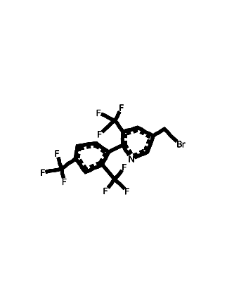 FC(F)(F)c1ccc(-c2ncc(CBr)cc2C(F)(F)F)c(C(F)(F)F)c1